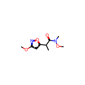 COc1cc(C(C)C(=O)N(C)OC)on1